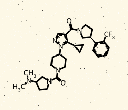 CN(C)C1CCN(C(=O)N2CCC(n3ncc(C(=O)N4CC[C@@H](c5ccccc5C(F)(F)F)C4)c3C3CC3)CC2)C1